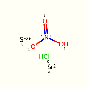 Cl.O=[N+]([O-])O.[Sr+2].[Sr+2]